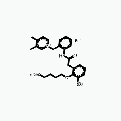 CCCCCCCCCCCCCCOc1c(CC(=O)Nc2ccccc2C[n+]2ccc(C)c(C)c2)cccc1C(C)(C)C.[Br-]